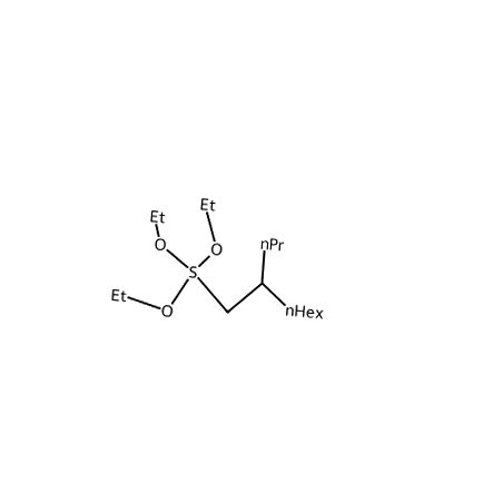 CCCCCCC(CCC)CS(OCC)(OCC)OCC